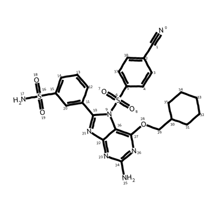 N#Cc1ccc(S(=O)(=O)n2c(-c3cccc(S(N)(=O)=O)c3)nc3nc(N)nc(OCC4CCCCC4)c32)cc1